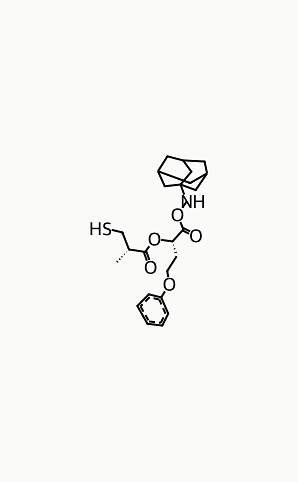 C[C@H](CS)C(=O)O[C@@H](CCOc1ccccc1)C(=O)ONC12CC3CC(CC(C3)C1)C2